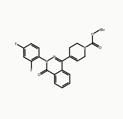 CC(C)(C)OC(=O)N1CC=C(c2nn(-c3ccc(F)cc3F)c(=O)c3ccccc23)CC1